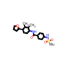 Cc1c(NC(=O)c2ccc(NS(=O)(=O)C(C)(C)C)cc2)ccc(-c2ccco2)c1C